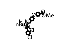 CCCCn1cc(-c2ccc(Cl)cc2Cl)nc1[C@@H](N)Cc1ccc(Oc2ccc(C(=O)OC)cc2)cc1